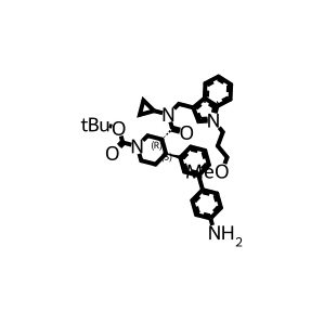 COCCCn1cc(CN(C(=O)[C@H]2CN(C(=O)OC(C)(C)C)CC[C@@H]2c2cccc(-c3ccc(N)cc3)c2)C2CC2)c2ccccc21